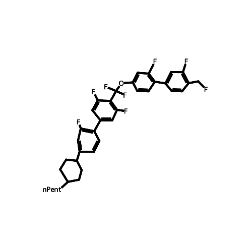 CCCCCC1CCC(c2ccc(-c3cc(F)c(C(F)(F)Oc4ccc(-c5ccc(CF)c(F)c5)c(F)c4)c(F)c3)c(F)c2)CC1